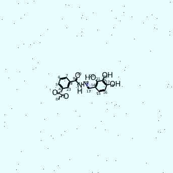 CS(=O)(=O)c1cccc(C(=O)N/N=C/c2ccc(O)c(O)c2O)c1